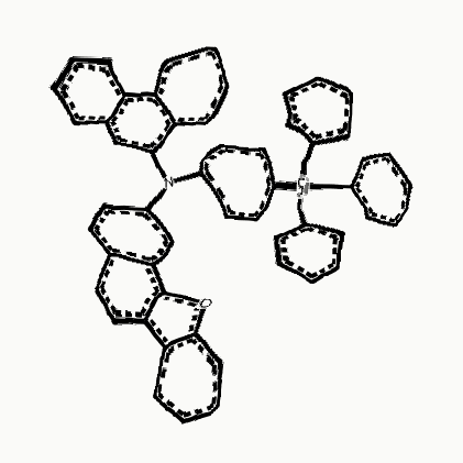 c1ccc([Si](c2ccccc2)(c2ccccc2)c2ccc(N(c3ccc4ccc5c6ccccc6oc5c4c3)c3cc4ccccc4c4ccccc34)cc2)cc1